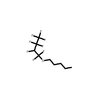 CCCCCOC(F)(F)C(F)C(F)(F)C(F)(F)F